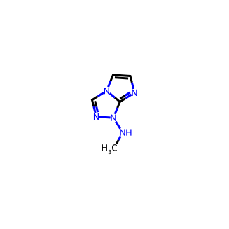 CNn1ncn2ccnc12